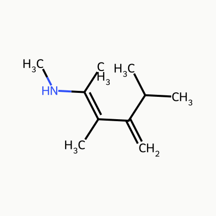 C=C(/C(C)=C(\C)NC)C(C)C